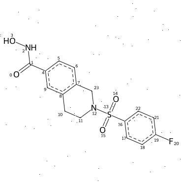 O=C(NO)c1ccc2c(c1)CCN(S(=O)(=O)c1ccc(F)cc1)C2